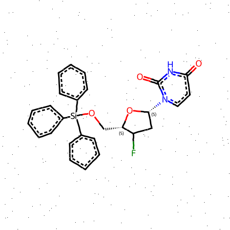 O=c1ccn([C@@H]2CC(F)[C@H](CO[Si](c3ccccc3)(c3ccccc3)c3ccccc3)O2)c(=O)[nH]1